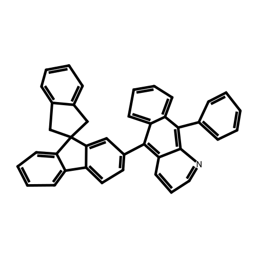 c1ccc(-c2c3ccccc3c(-c3ccc4c(c3)C3(Cc5ccccc5C3)c3ccccc3-4)c3cccnc23)cc1